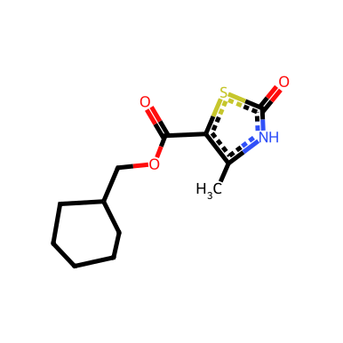 Cc1[nH]c(=O)sc1C(=O)OCC1CCCCC1